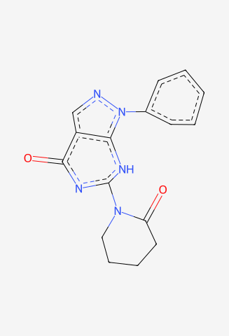 O=C1CCCCN1c1nc(=O)c2cnn(-c3ccccc3)c2[nH]1